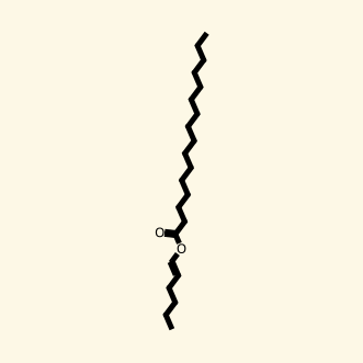 CCCCC=COC(=O)CCCCCCCCCCCCCCC